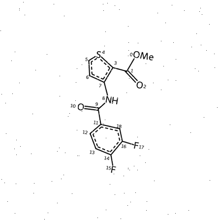 COC(=O)c1sccc1NC(=O)c1ccc(F)c(F)c1